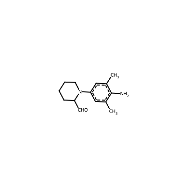 Cc1cc(N2CCCCC2C=O)cc(C)c1N